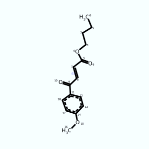 CCCCOC(=O)/C=C/C(=O)c1ccc(OC)cc1